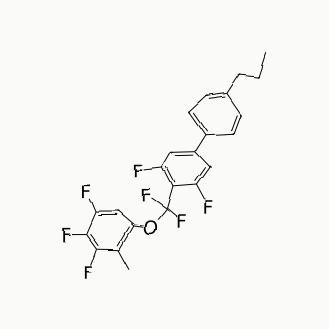 CCCc1ccc(-c2cc(F)c(C(F)(F)Oc3cc(F)c(F)c(F)c3C)c(F)c2)cc1